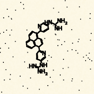 N=C(N)Nc1ccc(-c2ccc3cccc4c3c2C=CC4c2ccc(NC(=N)N)cn2)nc1